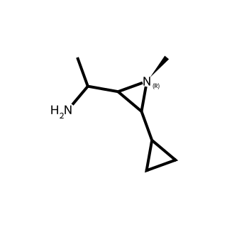 CC(N)C1C(C2CC2)[N@]1C